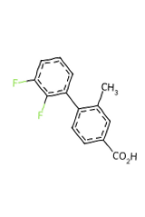 Cc1cc(C(=O)O)ccc1-c1cccc(F)c1F